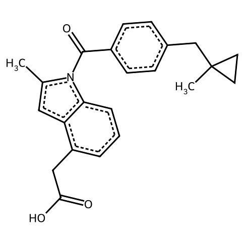 Cc1cc2c(CC(=O)O)cccc2n1C(=O)c1ccc(CC2(C)CC2)cc1